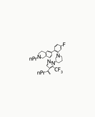 C=C(CCC)c1cnn(C2CCCN(c3cc(F)ccc3-c3ccc4c(c3)CCN(CCC)C4)C2)c1C(F)(F)F